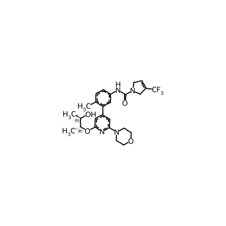 Cc1ccc(NC(=O)N2CC=C(C(F)(F)F)C2)cc1-c1cc(O[C@H](C)[C@@H](C)O)nc(N2CCOCC2)c1